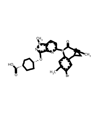 CC#CC(=O)N(c1ccc2c(n1)c(O[C@H]1CC[C@@H](C(=O)O)CC1)nn2C)c1cc(C)c(Br)cc1C1CC1